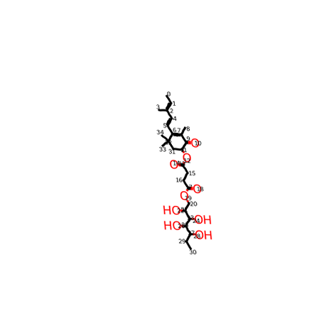 C/C=C(C)/C=C/C1=C(C)C(=O)C(OC(=O)CCC(=O)OCC(O)C(O)C(O)C(O)CC)CC1(C)C